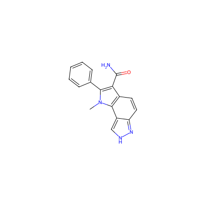 Cn1c(-c2ccccc2)c(C(N)=O)c2ccc3n[nH]cc3c21